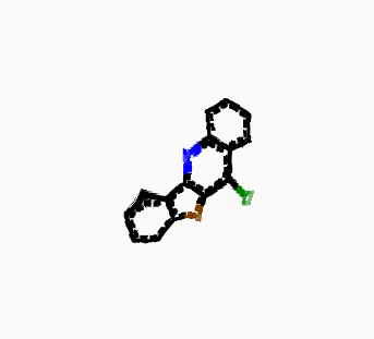 Clc1c2ccccc2nc2c1sc1ccccc12